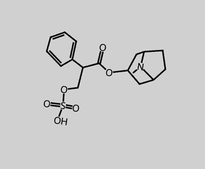 CN1C2CCC1CC(OC(=O)C(COS(=O)(=O)O)c1ccccc1)C2